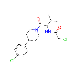 CC(C)C(NC(=O)CCl)C(=O)N1CCC(c2ccc(Cl)cc2)CC1